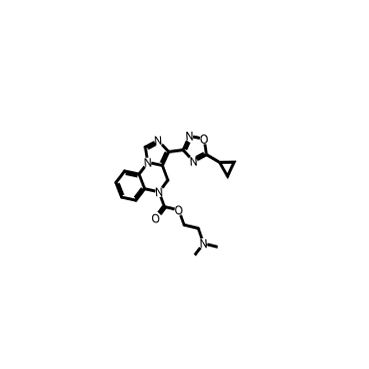 CN(C)CCOC(=O)N1Cc2c(-c3noc(C4CC4)n3)ncn2-c2ccccc21